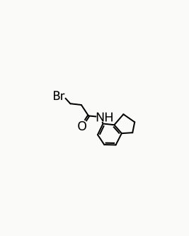 O=C(CCBr)Nc1cccc2c1CCC2